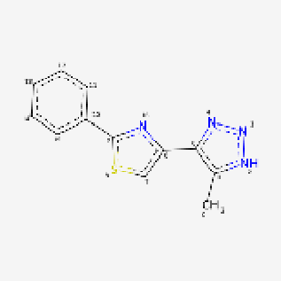 Cc1[nH]nnc1-c1csc(-c2ccccc2)n1